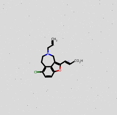 C=CCN1CCc2c(Cl)ccc3oc(/C=C/C(=O)O)c(c23)C1